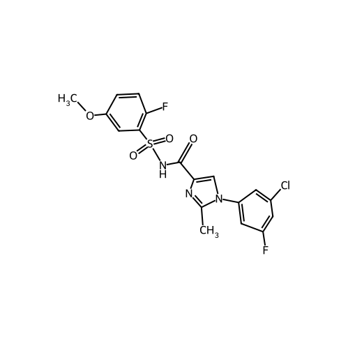 COc1ccc(F)c(S(=O)(=O)NC(=O)c2cn(-c3cc(F)cc(Cl)c3)c(C)n2)c1